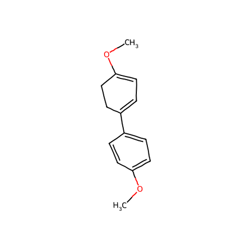 COC1=CC=C(c2ccc(OC)cc2)CC1